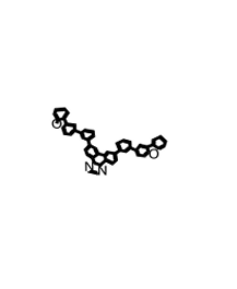 c1cc(-c2ccc3oc4ccccc4c3c2)cc(-c2ccc3c(c2)c2cc(-c4cccc(-c5ccc6oc7ccccc7c6c5)c4)ccc2c2nccnc32)c1